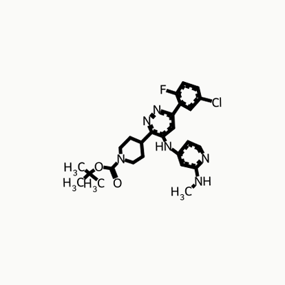 CNc1cc(Nc2cc(-c3cc(Cl)ccc3F)nnc2C2CCN(C(=O)OC(C)(C)C)CC2)ccn1